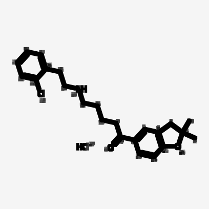 CC1(C)Cc2cc(C(=O)CCCCNCCc3ccccc3Cl)ccc2O1.Cl